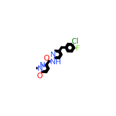 Cn1nc(C(=O)Nc2ccc(Cc3ccc(F)c(Cl)c3)cn2)ccc1=O